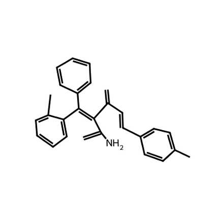 C=C(N)/C(C(=C)/C=C/c1ccc(C)cc1)=C(/c1ccccc1)c1ccccc1C